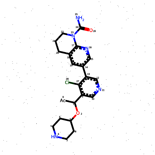 CC(=O)C(OC1CCNCC1)c1cncc(-c2cnc3c(c2)CCCN3C(N)=O)c1Cl